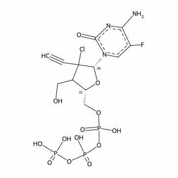 C#CC1(Cl)C(CO)[C@@H](COP(=O)(O)OP(=O)(O)OP(=O)(O)O)O[C@H]1n1cc(F)c(N)nc1=O